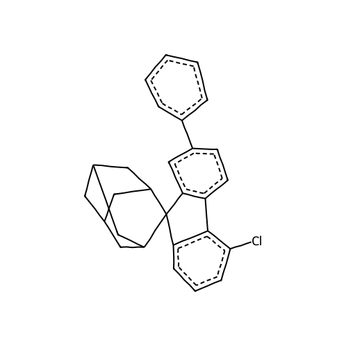 Clc1cccc2c1-c1ccc(-c3ccccc3)cc1C21C2CC3CC(C2)CC1C3